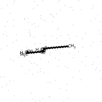 CCCCCCCCCCCCCCCCCCOC(CC)OP(=O)([O-])OCCCCCCCCCC[N+](C)(C)C